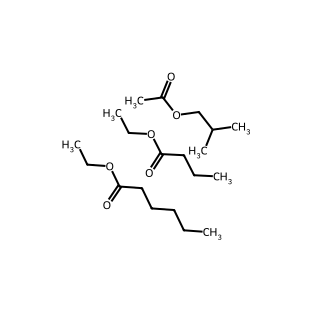 CC(=O)OCC(C)C.CCCC(=O)OCC.CCCCCC(=O)OCC